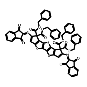 O=C(OCc1ccccc1)C1(C(=O)OCc2ccccc2)C(N=c2c(=O)c3ccccc3c2=O)=Cc2sc3c(sc4c5c(sc43)C=C(N=c3c(=O)c4ccccc4c3=O)C5(C(=O)OCc3ccccc3)C(=O)OCc3ccccc3)c21